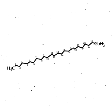 CCCCCCCCCCCCCCCCCCCCCCC[CH2][SbH2]